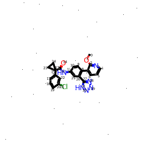 COc1ncccc1-c1ccc(NC(=O)C2(c3cccc(Cl)c3)CC2)cc1-c1nnn[nH]1